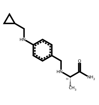 C[C@H](NCc1ccc(NCC2CC2)cc1)C(N)=O